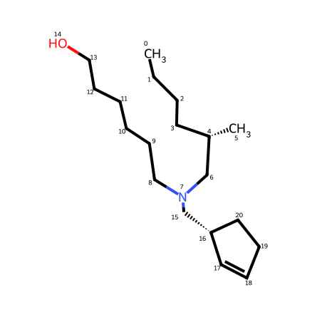 CCCC[C@H](C)CN(CCCCCCO)C[C@H]1C=CCC1